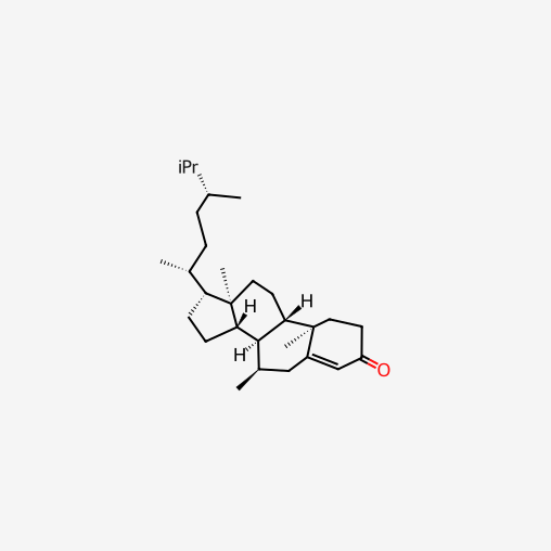 CC(C)[C@H](C)CC[C@@H](C)[C@H]1CC[C@H]2[C@@H]3[C@H](C)CC4=CC(=O)CC[C@]4(C)[C@H]3CC[C@]12C